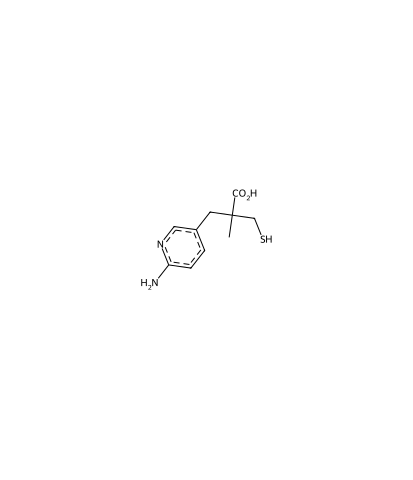 CC(CS)(Cc1ccc(N)nc1)C(=O)O